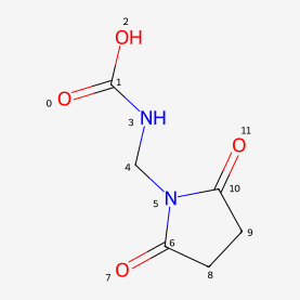 O=C(O)NCN1C(=O)CCC1=O